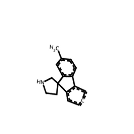 Cc1ccc2c(c1)C1(CCNC1)c1ccccc1-2